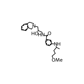 COCCCC(C)Nc1cccc(C(=O)NCC(O)CN2CCc3ccccc3C2)c1